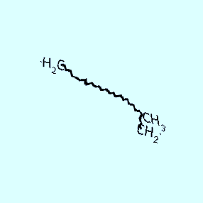 [CH2]CCCCCC/C=C/CCCCCCCCCCCCCCCC(C)CCC[CH2]